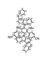 CC(C)(C)c1c(-c2ccc(C#N)cc2)c(-n2c3ccccc3c3c4c(ccc32)oc2ccccc24)c(-c2ccc(C#N)cc2)c(C(C)(C)C)c1-n1c2ccccc2c2c3c(ccc21)oc1ccccc13